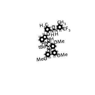 COc1ccc(P(=NC[C@H](NC(=S)N[C@@H]2c3ccccc3C[C@H]2Oc2ccc(C)cc2NC(=O)Nc2cc(C)cc(C(F)(F)F)c2)C(C)(C)C)(c2ccc(OC)cc2)c2ccc(OC)cc2)cc1